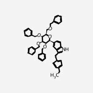 CCc1ccc(Cc2c[nH]c3ccc([C@@H]4O[C@H](COCc5ccccc5)[C@@H](OCc5ccccc5)[C@H](OCc5ccccc5)[C@H]4OCc4ccccc4)cc23)cc1